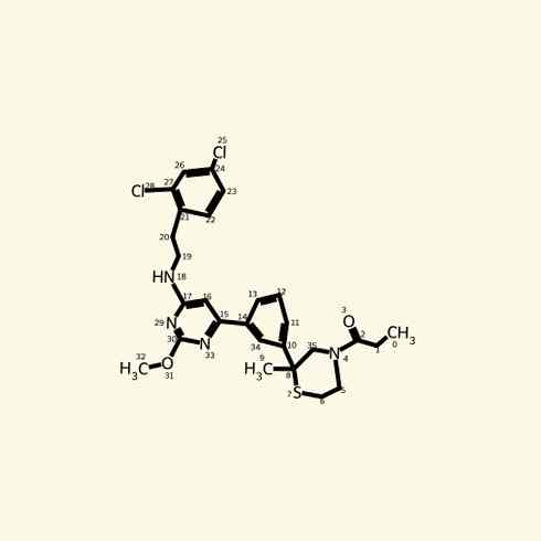 CCC(=O)N1CCSC(C)(c2cccc(-c3cc(NCCc4ccc(Cl)cc4Cl)nc(OC)n3)c2)C1